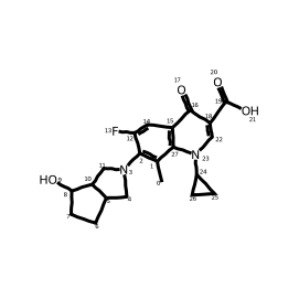 Cc1c(N2CC3CCC(O)C3C2)c(F)cc2c(=O)c(C(=O)O)cn(C3CC3)c12